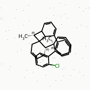 C[C@@H]1C2C=CC=C(c3ccccc3)C2C12CC=CC[C@H]2[C@@]1(C)C=CC=CC=C1c1ccccc1Cl